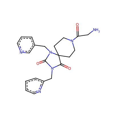 NCC(=O)N1CCC2(CC1)C(=O)N(Cc1ccccn1)C(=O)N2Cc1cccnc1